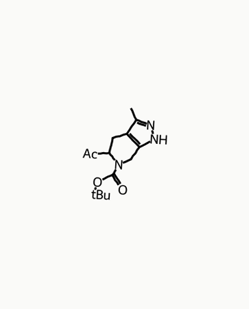 CC(=O)C1Cc2c(C)n[nH]c2CN1C(=O)OC(C)(C)C